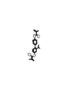 C=C(C)C(=O)Oc1ccc(-c2ccc(OC(=O)C(=C)C)cc2C(=C)C)cc1